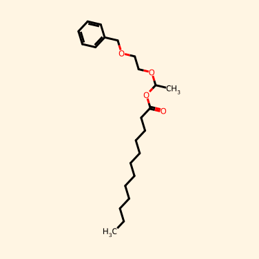 CCCCCCCCCCCC(=O)OC(C)OCCOCc1ccccc1